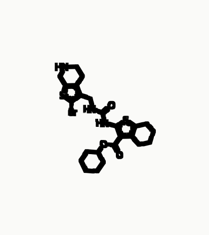 O=C(NCc1c(Br)sc2c1CCNC2)Nc1sc2c(c1C(=O)OC1CCCCC1)CCCC2